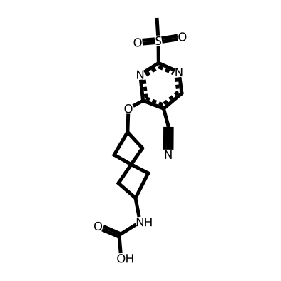 CS(=O)(=O)c1ncc(C#N)c(OC2CC3(CC(NC(=O)O)C3)C2)n1